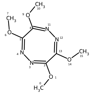 COC1=N/N=C(OC)\C(OC)=N/N=C\1OC